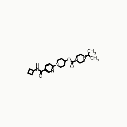 CC(C)N1CCN(C(=O)OC2CCN(c3ccc(C(=O)NC4CCC4)cn3)CC2)CC1